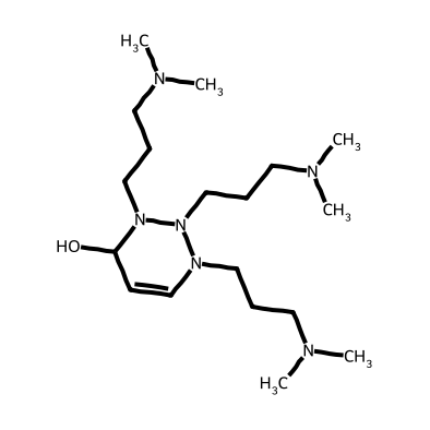 CN(C)CCCN1C=CC(O)N(CCCN(C)C)N1CCCN(C)C